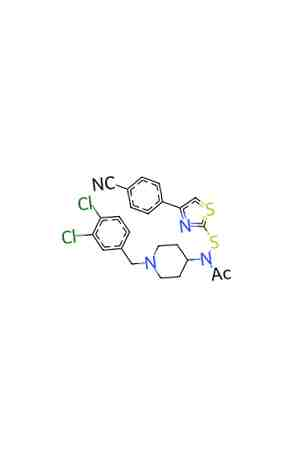 CC(=O)N(Sc1nc(-c2ccc(C#N)cc2)cs1)C1CCN(Cc2ccc(Cl)c(Cl)c2)CC1